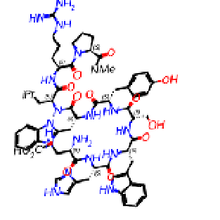 CNC(=O)[C@@H]1CCCN1C(=O)[C@H](CCCNC(=N)N)NC(=O)[C@H](CC(C)C)N(C)C(=O)[C@@H](Cc1nc2ccccc2[nH]1)NC(=O)[C@H](Cc1ccc(O)cc1)NC(=O)[C@H](CO)NC(=O)[C@H](Cc1c[nH]c2ccccc12)NC(=O)[C@H](Cc1c[nH]cn1)NC(=O)[C@@H](N)CCC(=O)O